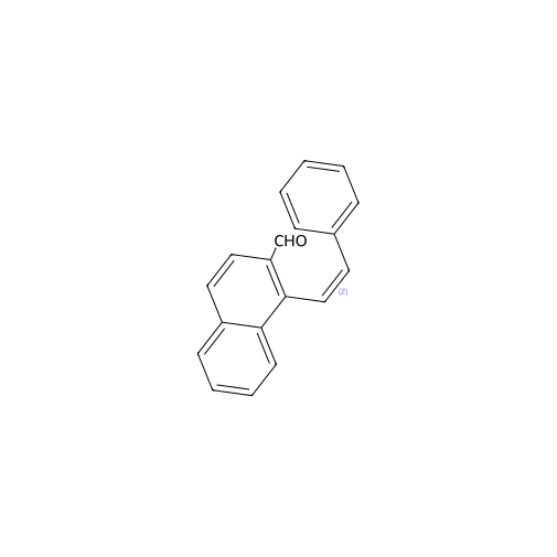 O=Cc1ccc2ccccc2c1/C=C\c1ccccc1